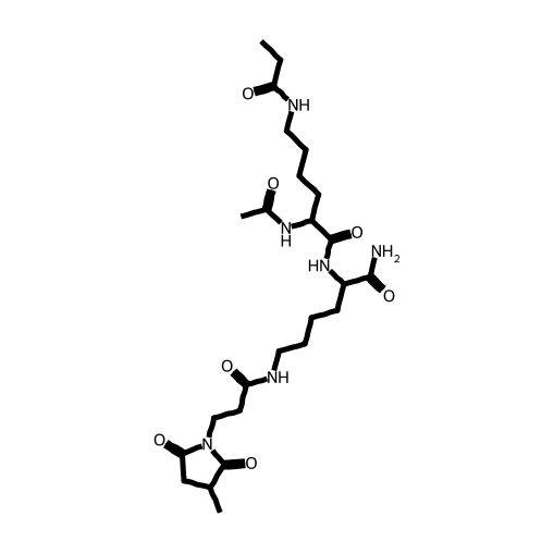 CCC(=O)NCCCCC(NC(C)=O)C(=O)NC(CCCCNC(=O)CCN1C(=O)CC(C)C1=O)C(N)=O